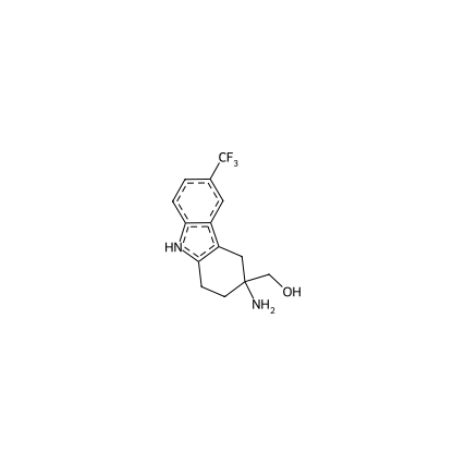 NC1(CO)CCc2[nH]c3ccc(C(F)(F)F)cc3c2C1